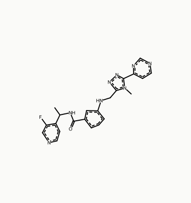 CC(NC(=O)c1cccc(NCc2nnc(-c3ccncn3)n2C)c1)c1ccncc1F